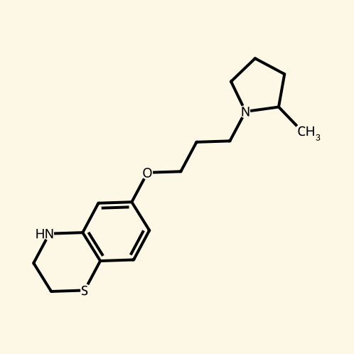 CC1CCCN1CCCOc1ccc2c(c1)NCCS2